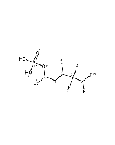 CCC(CC(F)C(F)(F)C(F)F)OP(=O)(O)O